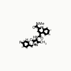 CNC(=O)c1cc(C(=O)Nc2c(C)nn(Cc3ccc(F)cc3)c2C)c2ccccc2n1